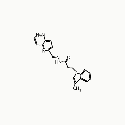 Cc1cn(CCC(=O)N/N=C/c2ccc3nnccc3n2)c2ccccc12